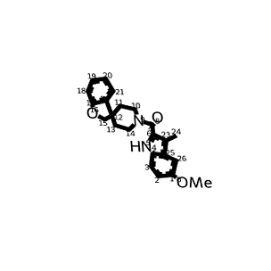 COc1ccc2[nH]c(C(=O)N3CCC4(CC3)COc3ccccc34)c(C)c2c1